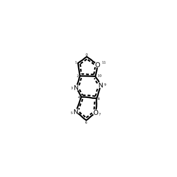 c1cc2nc3ncoc3nc2o1